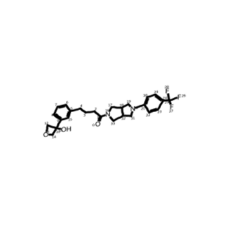 O=C(CCCc1cccc(C2(O)COC2)c1)N1CC2CN(c3ccc(C(F)(F)F)cc3)CC2C1